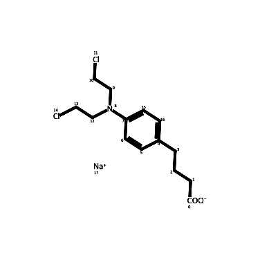 O=C([O-])CCCc1ccc(N(CCCl)CCCl)cc1.[Na+]